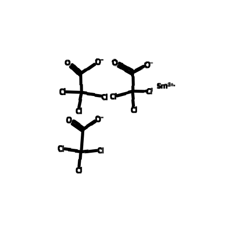 O=C([O-])C(Cl)(Cl)Cl.O=C([O-])C(Cl)(Cl)Cl.O=C([O-])C(Cl)(Cl)Cl.[Sm+3]